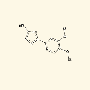 C[CH]Cc1csc(-c2ccc(OCC)c(OCC)c2)n1